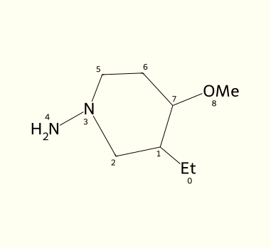 CCC1CN(N)CCC1OC